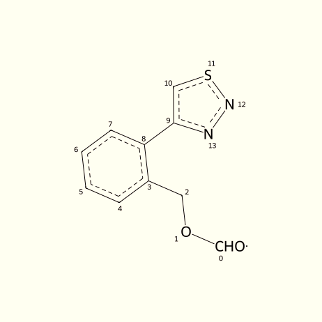 O=[C]OCc1ccccc1-c1csnn1